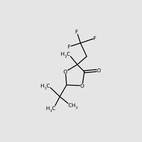 CC1(CC(F)(F)F)OC(C(C)(C)C)OC1=O